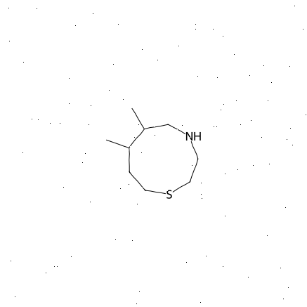 CC1CCSCCNCC1C